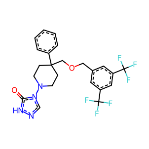 O=c1[nH]ncn1N1CCC(COCc2cc(C(F)(F)F)cc(C(F)(F)F)c2)(c2ccccc2)CC1